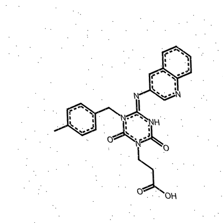 Cc1ccc(Cn2c(=O)n(CCC(=O)O)c(=O)[nH]/c2=N\c2cnc3ccccc3c2)cc1